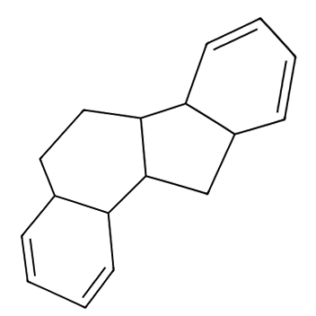 C1=CC2CC3C4C=CC=CC4CCC3C2C=C1